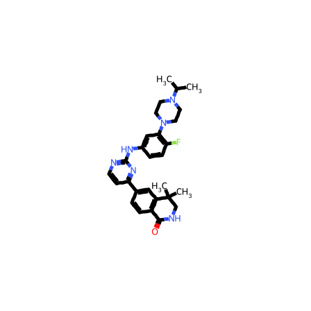 CC(C)N1CCN(c2cc(Nc3nccc(-c4ccc5c(c4)C(C)(C)CNC5=O)n3)ccc2F)CC1